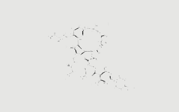 Cc1nc(N2CCC(C(C)(C)C)CC2)nc(N)c1C(=O)N[C@@H](CCN)C(=O)N(C)[C@@H]1C(=O)N[C@@H](C)C(=O)N[C@H](C(=O)O)Cc2ccc(OC[C@H](O)CN)c(c2)-c2cc1cc(OC[C@H](O)CN)c2O